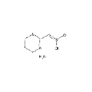 O.[O-][N+](O)=CC1=NCCCS1